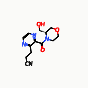 N#CCCc1nccnc1C(=O)N1CCOC[C@H]1CO